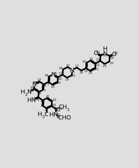 Cc1cc(C(=N)c2cc(-c3ccc(C4CCN(CCc5ccc(C6CCC(=O)NC6=O)cc5)CC4)nc3)cnc2N)ccc1[C@@H](C)NC=O